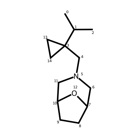 CC(C)C1(CN2CC3CCC(C2)O3)CC1